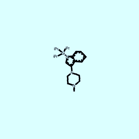 CC(C)[Si](C(C)C)(C(C)C)n1cc(N2CCN(C)CC2)c2ccccc21